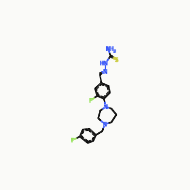 NC(=S)NN=Cc1ccc(N2CCCN(Cc3ccc(F)cc3)CC2)c(F)c1